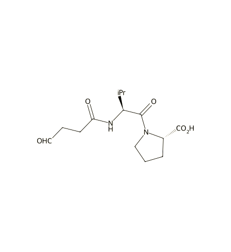 CC(C)[C@H](NC(=O)CCC=O)C(=O)N1CCC[C@H]1C(=O)O